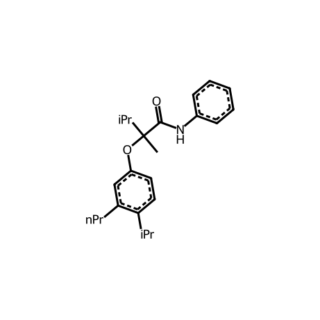 CCCc1cc(OC(C)(C(=O)Nc2ccccc2)C(C)C)ccc1C(C)C